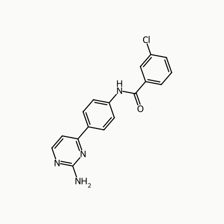 Nc1nccc(-c2ccc(NC(=O)c3cccc(Cl)c3)cc2)n1